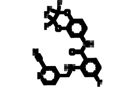 N#Cc1cc(CNc2cc(F)ccc2C(=O)Nc2ccc3c(c2)OC(F)(F)C(F)(F)O3)ccn1